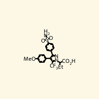 CCC(C(=O)O)n1nc(-c2ccc(S(N)(=O)=O)cc2)c(-c2ccc(OC)cc2)c1C(F)(F)F